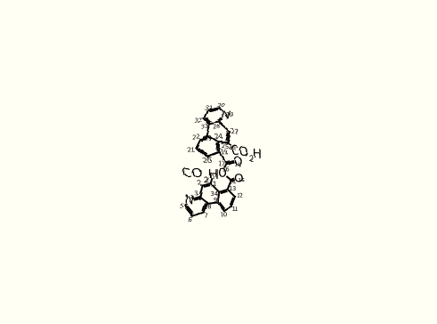 O=C(O)c1cc2ncccc2c2cccc(C(=O)OC(=O)c3cccc4c3c(C(=O)O)cc3ncccc34)c12